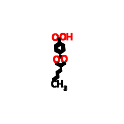 CCCCC[C@H]1CO[C@H](c2ccc(C(=O)O)cc2)OC1